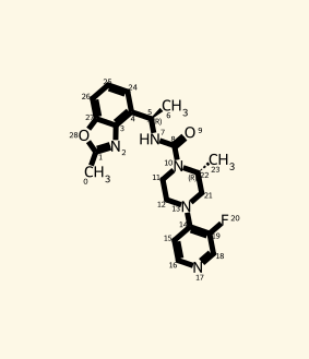 Cc1nc2c([C@@H](C)NC(=O)N3CCN(c4ccncc4F)C[C@H]3C)cccc2o1